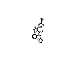 O=c1c2c(-n3cc(C4CC4)nn3)ncn2c2ccccc2n1CC1CCCO1